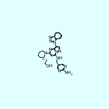 Nc1ncc(CNc2cc(N3CCCC[C@H]3CCO)nc3c(-n4nnc5ccccc54)cnn23)cn1